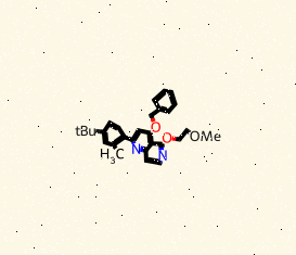 COCCOc1nccc2nc(-c3ccc(C(C)(C)C)cc3C)cc(OCc3ccccc3)c12